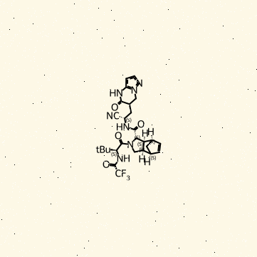 CC(C)(C)[C@H](NC(=O)C(F)(F)F)C(=O)N1C[C@H]2[C@@H]([C@H]1C(=O)N[C@H](C#N)CC1Cn3nccc3NC1=O)[C@H]1C=C[C@@H]2C1